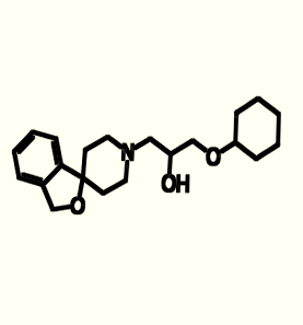 OC(COC1CCCCC1)CN1CCC2(CC1)OCc1ccccc12